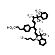 C=C(/C=C/C(=C/C=C1/N(CCCC(C)(C)C)c2ccccc2C1(C)C)c1ccc(CCC(=O)O)cc1)C(C)(C)c1ccccc1C